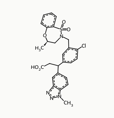 C[C@@H]1CN(Cc2cc(C(CC(=O)O)c3ccc4c(c3)nnn4C)ccc2Cl)S(=O)(=O)c2ccccc2O1